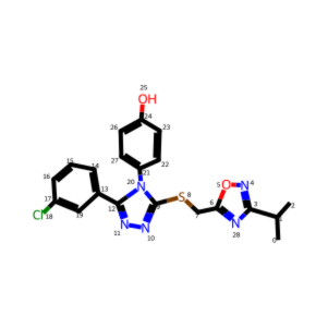 CC(C)c1noc(CSc2nnc(-c3cccc(Cl)c3)n2-c2ccc(O)cc2)n1